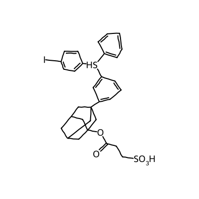 O=C(CCS(=O)(=O)O)OC12CC3CC(C1)CC(c1cccc([SH](c4ccccc4)c4ccc(I)cc4)c1)(C3)C2